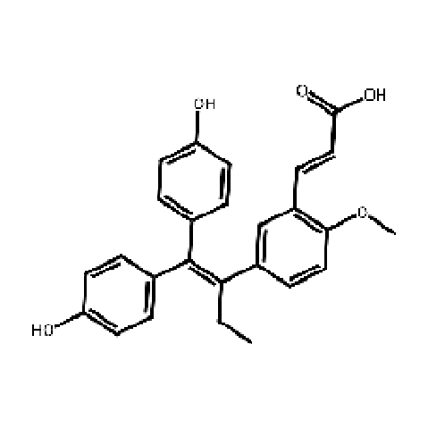 CCC(=C(c1ccc(O)cc1)c1ccc(O)cc1)c1ccc(OC)c(C=CC(=O)O)c1